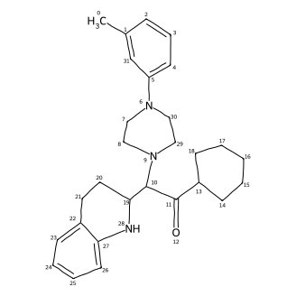 Cc1cccc(N2CCN(C(C(=O)C3CCCCC3)C3CCc4ccccc4N3)CC2)c1